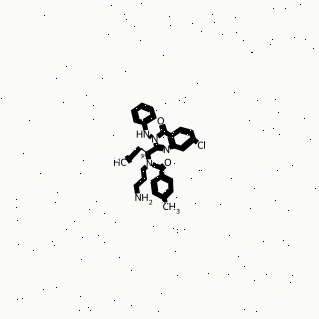 C#CC[C@H](c1nc2cc(Cl)ccc2c(=O)n1Nc1ccccc1)N(CCCN)C(=O)c1ccc(C)cc1